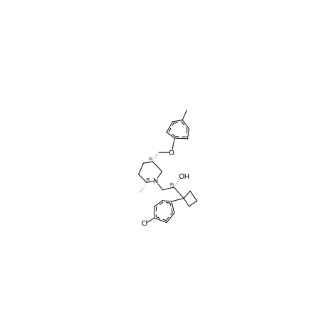 Cc1ccc(OC[C@H]2CC[C@@H](C)N(C[C@H](O)C3(c4ccc(Cl)cc4)CCC3)C2)cc1